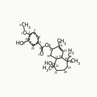 COc1ccc(C(=O)OC2CC3C(C=C2C)C(C)(C)CCCC3(C)O)cc1O